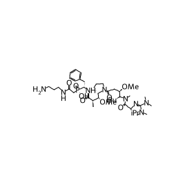 CC[C@H](C)C([C@@H](CC(=O)N1CCC[C@H]1[C@H](OC)[C@@H](C)C(=O)N[C@@H](Cc1ccccc1)P(=O)(O)CC(=O)NCCCN)OC)N(C)C(=O)[C@@H](N=C(N(C)C)N(C)C)C(C)C